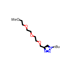 CCCCn1cc(COCCOCCOCCOC)nn1